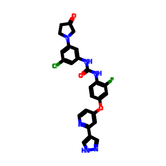 O=C1CCN(c2cc(Cl)cc(NC(=O)Nc3ccc(Oc4ccnc(-c5cn[nH]c5)c4)cc3F)c2)C1